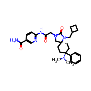 CN(C)[C@]1(c2ccccc2)CC[C@]2(CC1)CN(CC(=O)Nc1ccc(C(N)=O)cn1)C(=O)N2CC1CCC1